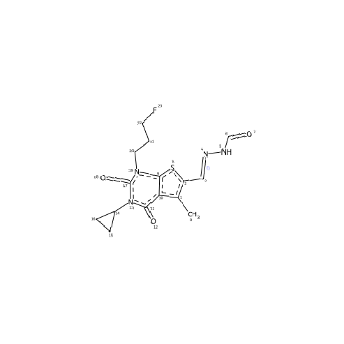 Cc1c(/C=N/NC=O)sc2c1c(=O)n(C1CC1)c(=O)n2CCCF